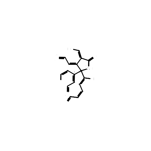 C=C/C=C\C=C(/C)C1(C(/C=C\C)=C/C=C)NC(=O)C(=C/C)/C1=C\C=C